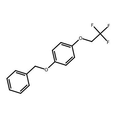 FC(F)(F)COc1ccc(OCc2ccccc2)cc1